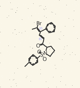 C/C(Br)=C(\C=C\C(=O)C1CCCN1S(=O)(=O)c1ccc(C)cc1)c1ccccc1